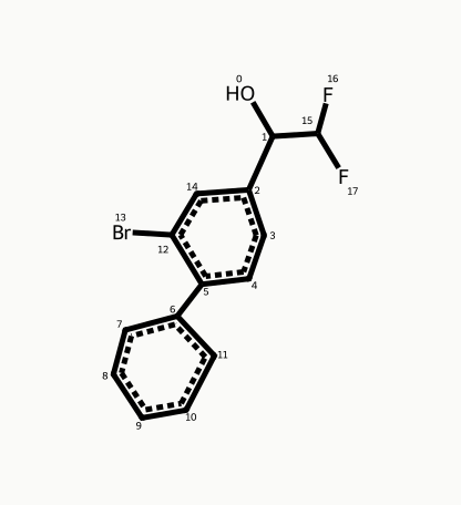 OC(c1ccc(-c2ccccc2)c(Br)c1)C(F)F